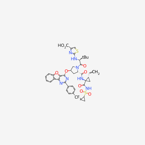 C=C[C@@H]1C[C@]1(NC(=O)[C@@H]1C[C@@H](Oc2nc(-c3ccc(C(F)(F)F)cc3)nc3c2oc2ccccc23)CN1C(=O)[C@@H](Nc1nc(C(=O)O)cs1)C(C)(C)C)C(=O)NS(=O)(=O)C1CC1